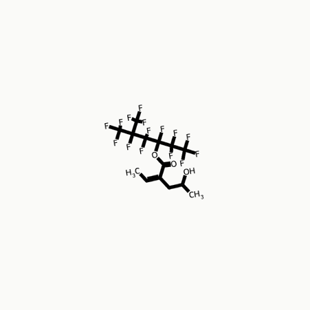 CC=C(CC(C)O)C(=O)OC(F)(C(F)(F)C(F)(F)F)C(F)(F)C(F)(C(F)(F)F)C(F)(F)F